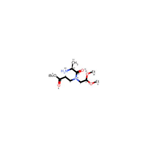 CCOC(CN(CCC(=O)OCC(C)C)C(=O)[C@H](C)N)OCC